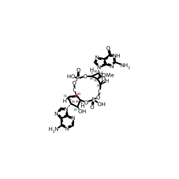 CO[C@H]1[C@H]2OP(=O)(O)OC[C@@]34CC[C@@H]3[C@@H](n3cnc5c(N)ncnc53)[C@H](O)[C@@H]4OP(=O)(O)OC[C@H]1O[C@H]2n1cnc2c(=O)[nH]c(N)nc21